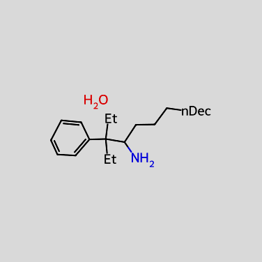 CCCCCCCCCCCCCC(N)C(CC)(CC)c1ccccc1.O